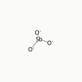 [O-][Sb]([O-])[O-]